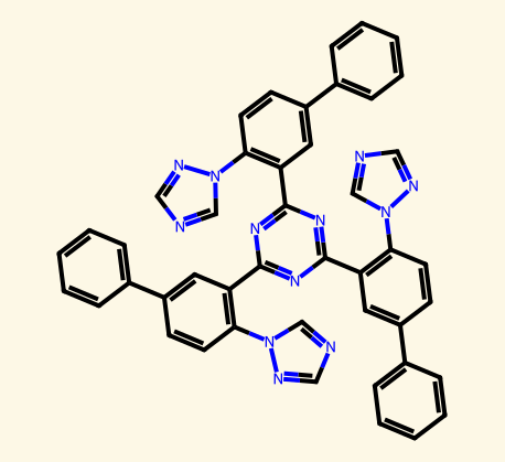 c1ccc(-c2ccc(-n3cncn3)c(-c3nc(-c4cc(-c5ccccc5)ccc4-n4cncn4)nc(-c4cc(-c5ccccc5)ccc4-n4cncn4)n3)c2)cc1